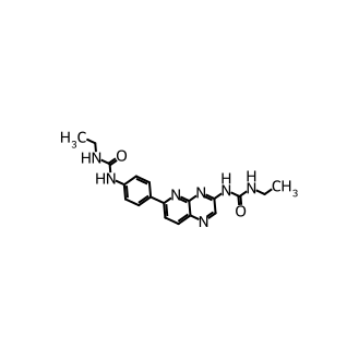 CCNC(=O)Nc1ccc(-c2ccc3ncc(NC(=O)NCC)nc3n2)cc1